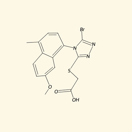 COc1ccc2c(C)ccc(-n3c(Br)nnc3SCC(=O)O)c2c1